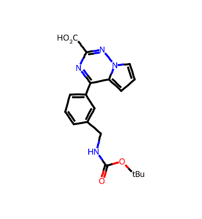 CC(C)(C)OC(=O)NCc1cccc(-c2nc(C(=O)O)nn3cccc23)c1